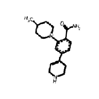 CC1CCN(c2cc(C3=CCNCC3)ccc2C(N)=O)CC1